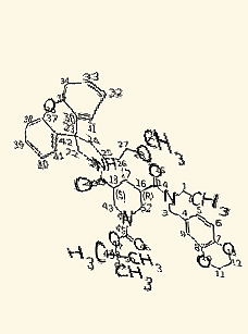 CCN(Cc1ccc2c(c1)OCCO2)C(=O)[C@@H]1C[C@H](C(=O)NCC2(CCCCOC)c3ccccc3Oc3ccccc32)CN(C(=O)OC(C)(C)C)C1